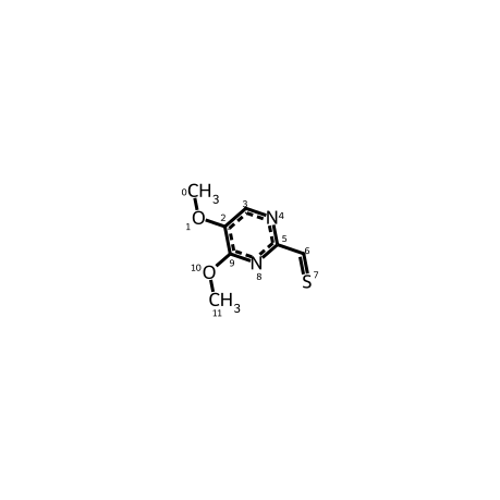 COc1cnc(C=S)nc1OC